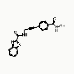 O=C(NO)c1ccc(C#CCNC(=O)c2nc3ccccc3s2)cc1